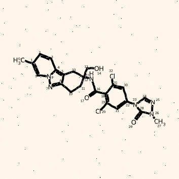 Cc1ccc2c3c(nn2c1)CCC(CO)(NC(=O)c1c(Cl)cc(-n2cnn(C)c2=O)cc1Cl)C3